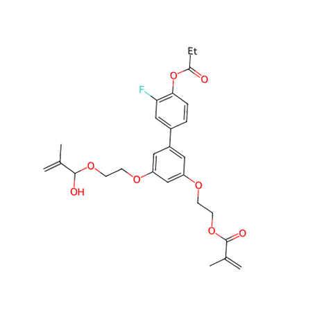 C=C(C)C(=O)OCCOc1cc(OCCOC(O)C(=C)C)cc(-c2ccc(OC(=O)CC)c(F)c2)c1